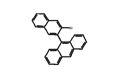 Brc1cc2ccccc2cc1-c1c2ccccc2cc2ccccc12